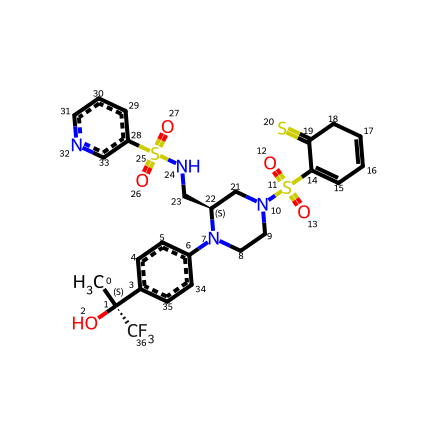 C[C@](O)(c1ccc(N2CCN(S(=O)(=O)C3=CC=CCC3=S)C[C@@H]2CNS(=O)(=O)c2cccnc2)cc1)C(F)(F)F